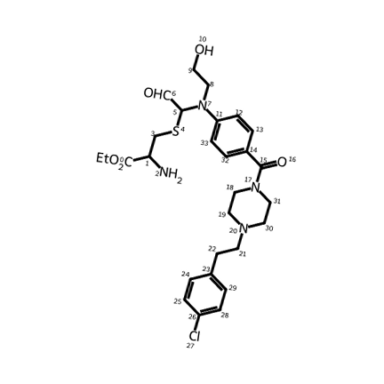 CCOC(=O)C(N)CSC(C=O)N(CCO)c1ccc(C(=O)N2CCN(CCc3ccc(Cl)cc3)CC2)cc1